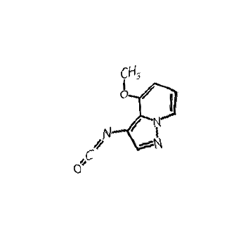 COc1cccn2ncc(N=C=O)c12